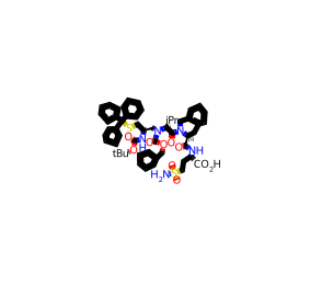 CC(C)[C@@H](C(=O)N1Cc2ccccc2C[C@H]1C(=O)NC(CCS(N)(=O)=O)C(=O)O)N(C[C@H](CSC(c1ccccc1)(c1ccccc1)c1ccccc1)NC(=O)OC(C)(C)C)C(=O)OCc1ccccc1